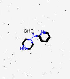 O=[C]N(c1ccccn1)N1CCNCC1